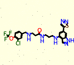 O=C(CCNCc1ccc(OC(F)(F)F)c(Cl)c1)NCCCNc1cc(-c2cnns2)cc2[nH]ncc12